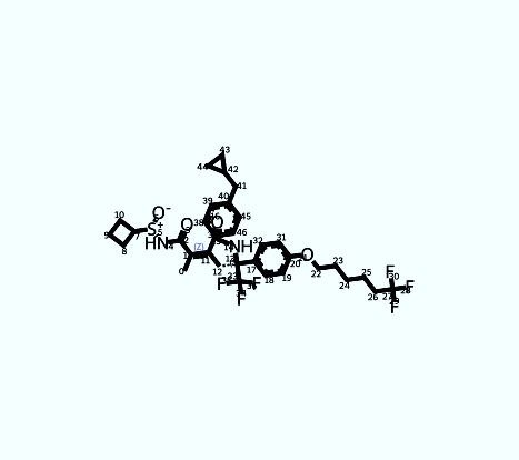 C/C(C(=O)N[S+]([O-])C1CCC1)=C(\C[C@](NC=O)(c1ccc(OCCCCCC(F)(F)F)cc1)C(F)(F)F)c1ccc(CC2CC2)cc1